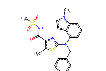 Cc1sc(N(Cc2ccccc2)c2cccc3c2ccn3C)nc1C(=O)NS(C)(=O)=O